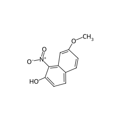 COc1ccc2ccc(O)c([N+](=O)[O-])c2c1